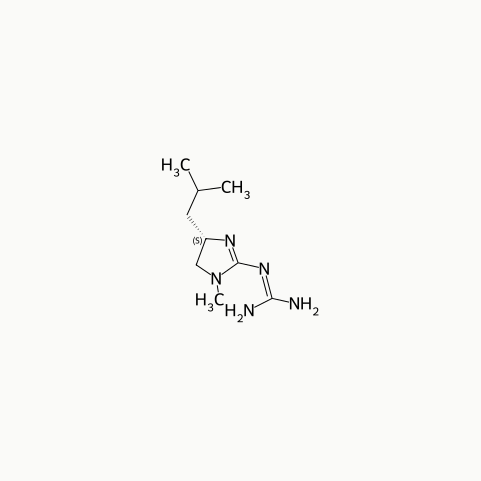 CC(C)C[C@H]1CN(C)C(N=C(N)N)=N1